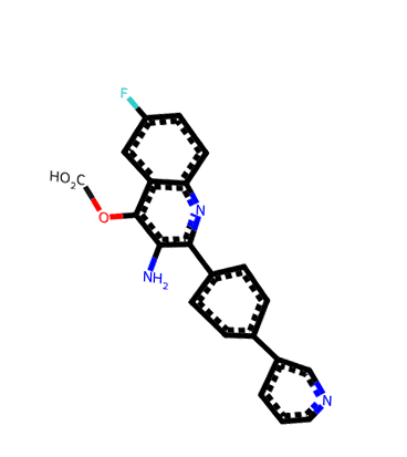 Nc1c(-c2ccc(-c3cccnc3)cc2)nc2ccc(F)cc2c1OC(=O)O